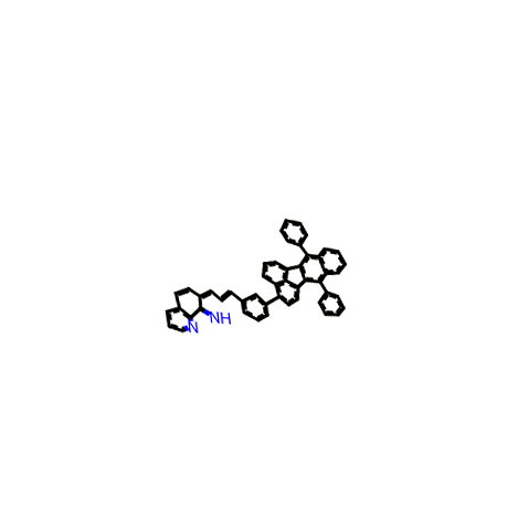 N=C1/C(=C\C=C\c2cccc(-c3ccc4c5c(cccc35)-c3c-4c(-c4ccccc4)c4ccccc4c3-c3ccccc3)c2)C=Cc2cccnc21